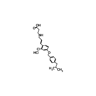 CC(C)Cc1ccc(COc2ccc(C=CCNCCC(=O)O)c(Cl)c2)cc1.Cl